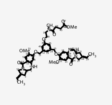 C/C=C1\CC2CNc3cc(OCc4cc(COc5cc6c(cc5OC)C(=O)N5C/C(=C/C)C[C@H]5C=N6)cc(OCCN(C)C(=O)CCC(=O)OC)c4)c(OC)cc3C(=O)N2C1